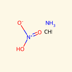 N.O=[N+]([O-])O.[CH]